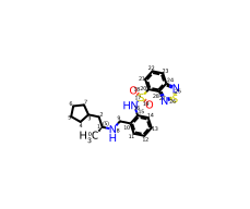 C[C@@H](CC1CCCC1)NCc1ccccc1NS(=O)(=O)c1cccc2nsnc12